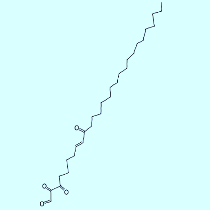 CCCCCCCCCCCCCCCCCCC(=O)C=CCCCCC(=O)C(=O)C=O